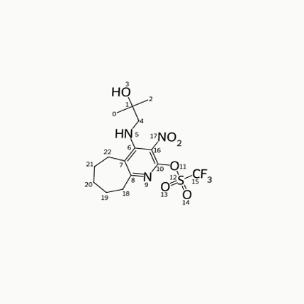 CC(C)(O)CNc1c2c(nc(OS(=O)(=O)C(F)(F)F)c1[N+](=O)[O-])CCCCC2